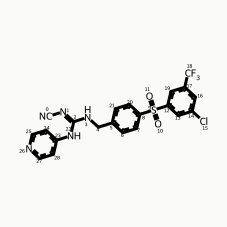 N#CN=C(NCc1ccc(S(=O)(=O)c2cc(Cl)cc(C(F)(F)F)c2)cc1)Nc1ccncc1